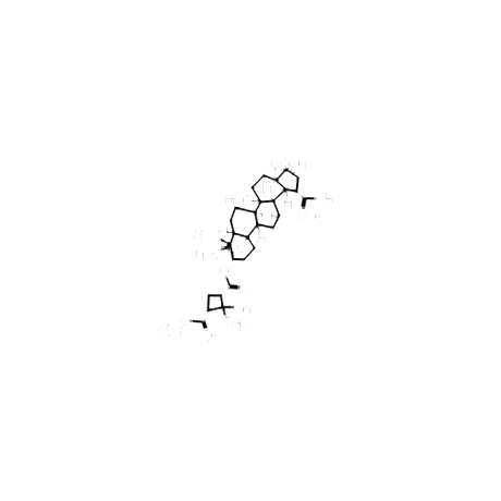 C=C(C)[C@@H]1CC[C@]2(C(=O)O)CC[C@]3(C)[C@H](CC[C@@H]4[C@@]5(C)CC[C@H](OC(=O)[C@H]6C[C@@H](C(=O)OCCCC)C6(C)C)C(C)(C)[C@@H]5CC[C@]43C)[C@@H]12